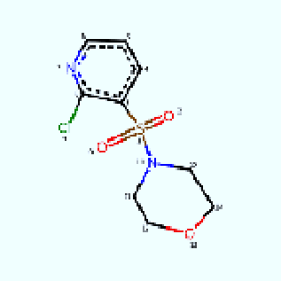 O=S(=O)(c1cccnc1Cl)N1CCOCC1